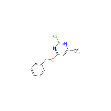 FC(F)(F)c1cc(OCc2ccccc2)nc(Cl)n1